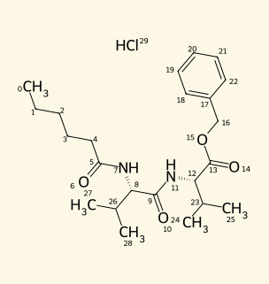 CCCCCC(=O)N[C@H](C(=O)N[C@H](C(=O)OCc1ccccc1)C(C)C)C(C)C.Cl